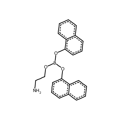 NCCOB(Oc1cccc2ccccc12)Oc1cccc2ccccc12